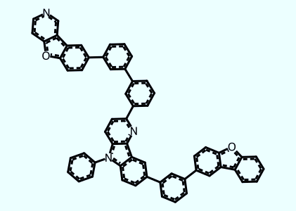 c1ccc(-n2c3ccc(-c4cccc(-c5ccc6oc7ccccc7c6c5)c4)cc3c3nc(-c4cccc(-c5cccc(-c6ccc7oc8ccncc8c7c6)c5)c4)ccc32)cc1